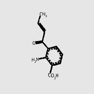 CC=CC(=O)c1cccc(C(=O)O)c1N